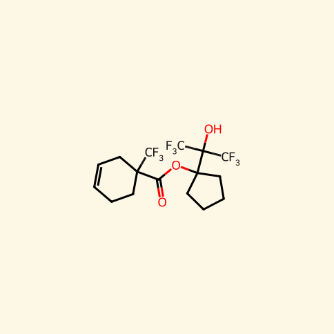 O=C(OC1(C(O)(C(F)(F)F)C(F)(F)F)CCCC1)C1(C(F)(F)F)CC=CCC1